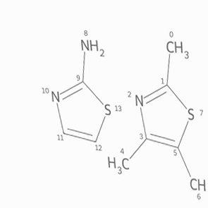 Cc1nc(C)c(C)s1.Nc1nccs1